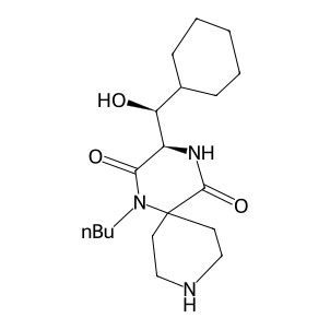 CCCCN1C(=O)[C@@H]([C@@H](O)C2CCCCC2)NC(=O)C12CCNCC2